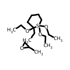 CC1CO1.CCOC1(CC)CCCC[Si]1(OCC)OCC